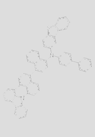 c1ccc(-c2ccc(N(c3ccc4sc5ccccc5c4c3)c3ccc(-c4ccc5c6cccc7c8ccccc8n(c8cccc4c58)c67)c4ccccc34)cc2)cc1